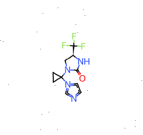 O=C1N[C@H](C(F)(F)F)CN1C1(n2ccnc2)CC1